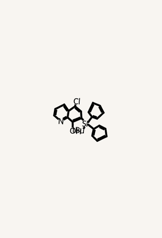 CC(C)(C)[Si](c1ccccc1)(c1ccccc1)c1cc(Cl)c2cccnc2c1O